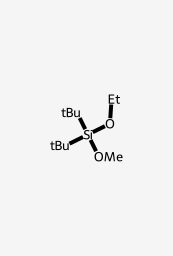 CCO[Si](OC)(C(C)(C)C)C(C)(C)C